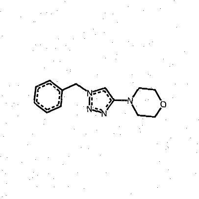 c1ccc(Cn2cc(N3CCOCC3)nn2)cc1